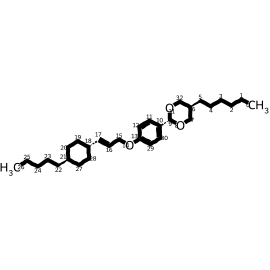 CCCCCC[C@H]1CO[C@H](c2ccc(OCC=C[C@H]3CC[C@H](CCCCC)CC3)cc2)OC1